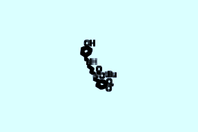 CC(C)(C)OC(=O)N(CCCNCc1ccc(O)cc1)Cc1ccc2c(c1)OCO2